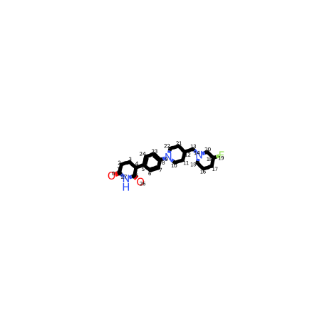 O=C1CCC(c2ccc(N3CCC(CN4CCCC(F)C4)CC3)cc2)C(=O)N1